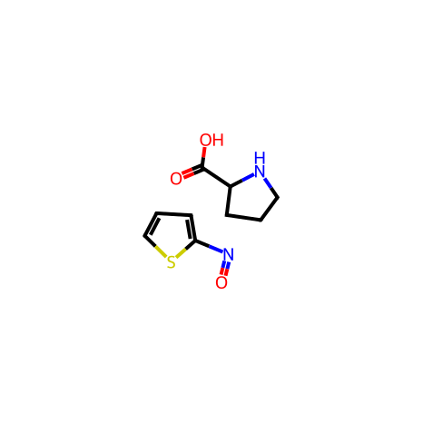 O=C(O)C1CCCN1.O=Nc1cccs1